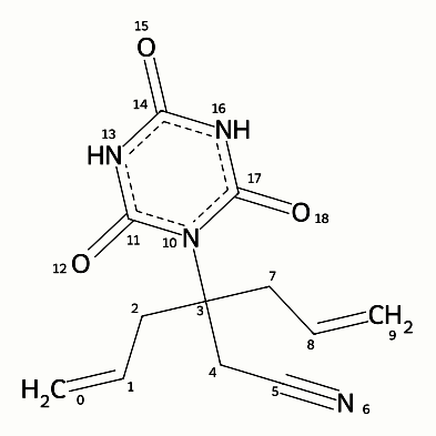 C=CCC(CC#N)(CC=C)n1c(=O)[nH]c(=O)[nH]c1=O